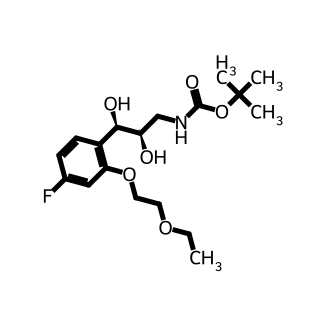 CCOCCOc1cc(F)ccc1[C@@H](O)[C@H](O)CNC(=O)OC(C)(C)C